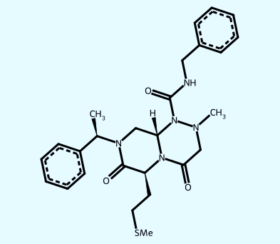 CSCC[C@H]1C(=O)N([C@H](C)c2ccccc2)C[C@H]2N1C(=O)CN(C)N2C(=O)NCc1ccccc1